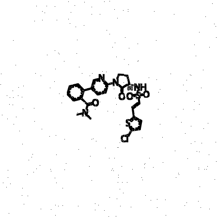 CN(C)C(=O)c1ccccc1-c1ccc(N2CC[C@H](NS(=O)(=O)C=Cc3ccc(Cl)s3)C2=O)nc1